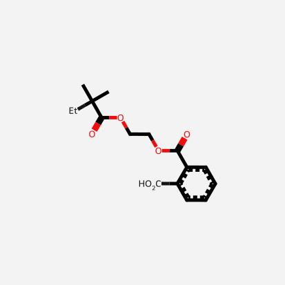 CCC(C)(C)C(=O)OCCOC(=O)c1ccccc1C(=O)O